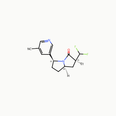 CC[C@]1(C(F)F)C[C@H]2CC[C@@H](c3cncc(C#N)c3)N2C1=O